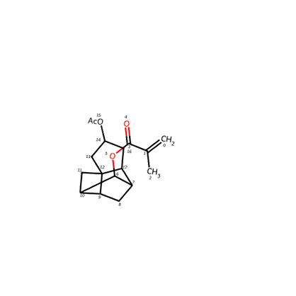 C=C(C)C(=O)OC1C2CC3C1CC31CC(OC(C)=O)CC21